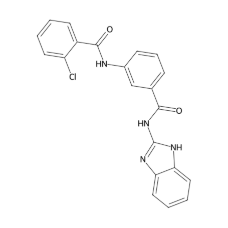 O=C(Nc1nc2ccccc2[nH]1)c1cccc(NC(=O)c2ccccc2Cl)c1